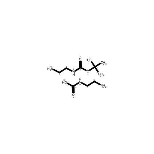 CC(C)(C)OC(=O)NCCN.NCCNC(=O)O